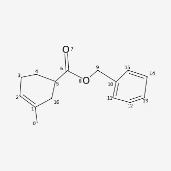 CC1=CCCC(C(=O)OCc2ccccc2)C1